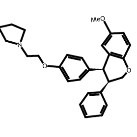 COc1ccc2c(c1)[C@H](c1ccc(OCCN3CCCC3)cc1)[C@H](c1ccccc1)CO2